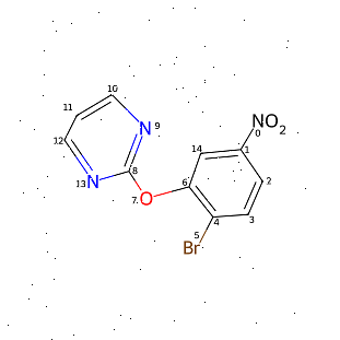 O=[N+]([O-])c1ccc(Br)c(Oc2ncccn2)c1